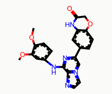 COc1ccc(Nc2nc(-c3ccc4c(c3)NC(=O)CO4)cn3ccnc23)cc1OC